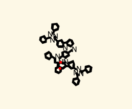 N#Cc1cc(-n2c3ccccc3c3cc(-c4nc(-c5ccccc5)nc(-c5ccccc5)n4)ccc32)c(-c2nc(-c3ccccc3)cc(-c3ccccc3)n2)cc1-n1c2ccccc2c2cc(-c3nc(-c4ccccc4)nc(-c4ccccc4)n3)ccc21